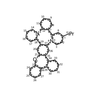 CC(C)c1cc[n+]2c(c1)c1ccccc1[n+]1ccccc1c1cc3oc4ccccc4c4ccccc4c3cc12